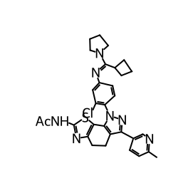 CC(=O)Nc1nc2c(s1)-c1c(c(-c3ccc(C)nc3)nn1-c1ccc(/N=C(\C3CCC3)N3CCCC3)cc1Cl)CC2